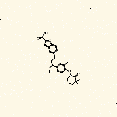 CCC(CCc1ccc2oc(C(=O)O)cc2c1)c1ccc(OC2CCCC(C)(C)C2=O)c(C)c1